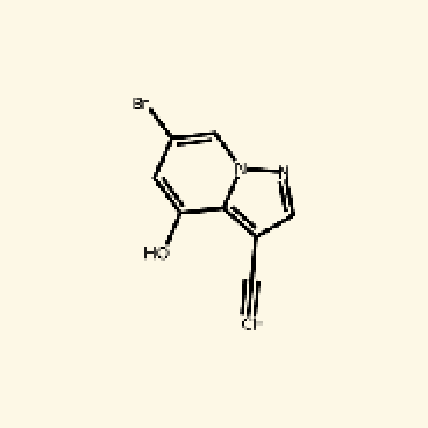 C#Cc1cnn2cc(Br)cc(O)c12